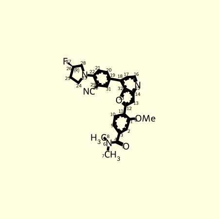 COc1cc(C(=O)N(C)C)ccc1-c1cc2nccc(-c3ccc(N4CC[C@@H](F)C4)c(C#N)c3)c2o1